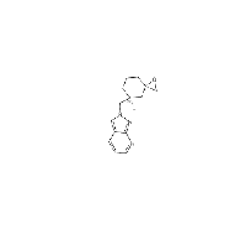 C[C@]1(Cn2cc3cccnc3n2)CCCC2(CO2)C1